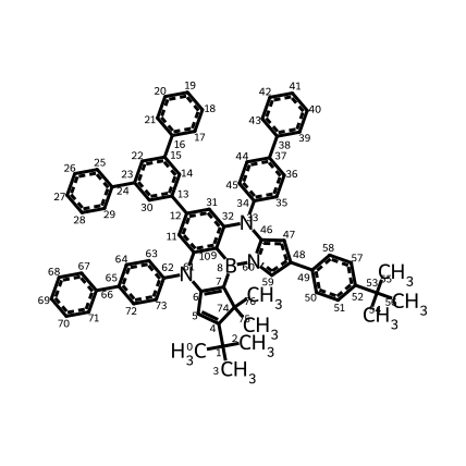 CC(C)(C)C1=CC2=C(B3c4c(cc(-c5cc(-c6ccccc6)cc(-c6ccccc6)c5)cc4N(c4ccc(-c5ccccc5)cc4)c4cc(-c5ccc(C(C)(C)C)cc5)cn43)N2c2ccc(-c3ccccc3)cc2)C1(C)C